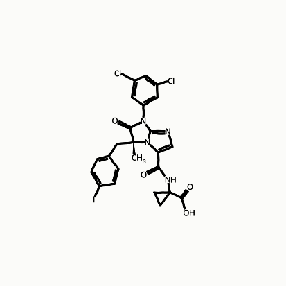 C[C@@]1(Cc2ccc(I)cc2)C(=O)N(c2cc(Cl)cc(Cl)c2)c2ncc(C(=O)NC3(C(=O)O)CC3)n21